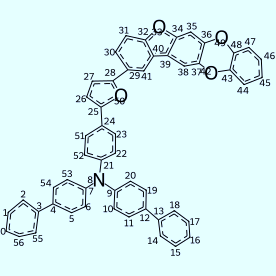 c1ccc(-c2ccc(N(c3ccc(-c4ccccc4)cc3)c3ccc(-c4ccc(-c5ccc6oc7cc8c(cc7c6c5)Oc5ccccc5O8)o4)cc3)cc2)cc1